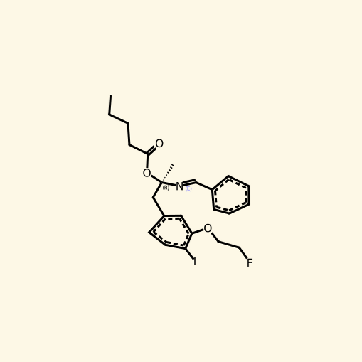 CCCCC(=O)O[C@](C)(Cc1ccc(I)c(OCCF)c1)/N=C/c1ccccc1